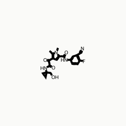 Cc1c(C(=O)C(=O)NC2(CO)CC2)cc(C(=O)Nc2ccc(F)c(C#N)c2)n1C